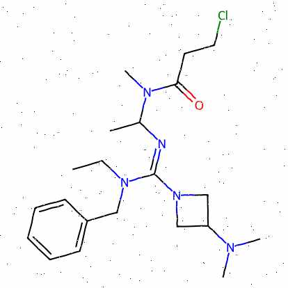 CCN(Cc1ccccc1)/C(=N\C(C)N(C)C(=O)CCCl)N1CC(N(C)C)C1